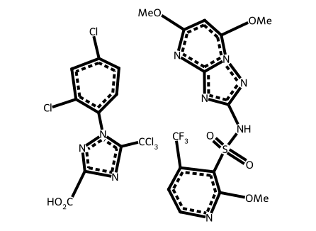 COc1cc(OC)n2nc(NS(=O)(=O)c3c(C(F)(F)F)ccnc3OC)nc2n1.O=C(O)c1nc(C(Cl)(Cl)Cl)n(-c2ccc(Cl)cc2Cl)n1